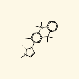 Cc1cc2c(cc1N1C=CN(C)[C@@H]1C)C(C)(C)c1ccccc1[Si]2(C)C